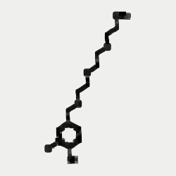 COCCOCCOCCOCc1ccc(S)[n+]([O-])c1